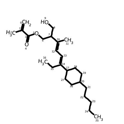 C=C(C)C(=O)OCC(CO)/C(C)=C/C=C(\CC)C1CCC(CCCCC)CC1